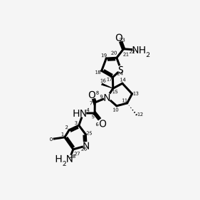 Cc1cc(NC(=O)C(=O)N2C[C@@H](C)CC[C@@]2(C)c2ccc(C(N)=O)s2)cnc1N